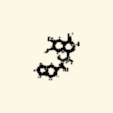 C[C@H](c1c[nH]c(=O)c2cc(F)c(F)cc12)N(C)C(=O)c1ccc2cccn2c1